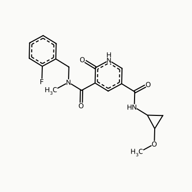 COC1CC1NC(=O)c1c[nH]c(=O)c(C(=O)N(C)Cc2ccccc2F)c1